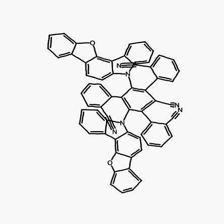 N#Cc1ccccc1-c1c(C#N)c(-c2ccccc2C#N)c(-n2c3ccccc3c3c4oc5ccccc5c4ccc32)c(-c2ccccc2C#N)c1-n1c2ccccc2c2c3oc4ccccc4c3ccc21